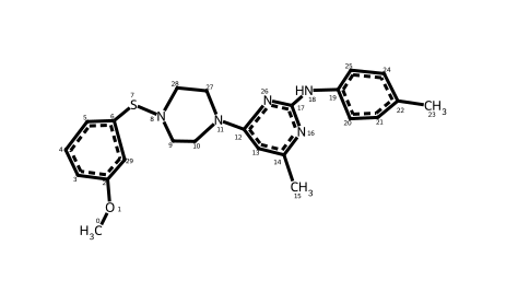 COc1cccc(SN2CCN(c3cc(C)nc(Nc4ccc(C)cc4)n3)CC2)c1